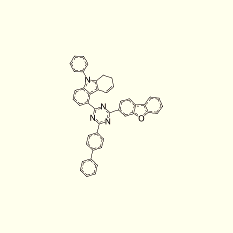 C1=Cc2c(n(-c3ccccc3)c3cccc(-c4nc(-c5ccc(-c6ccccc6)cc5)nc(-c5ccc6c(c5)oc5ccccc56)n4)c23)CC1